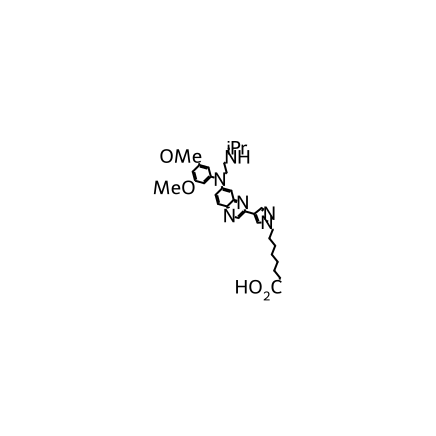 COc1cc(OC)cc(N(CCNC(C)C)c2ccc3ncc(-c4cnn(CCCCCCCC(=O)O)c4)nc3c2)c1